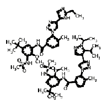 CCc1ncc(-c2cn(-c3cc(C(=O)Nc4cc(C(C)(C)C)cc(NS(C)(=O)=O)c4OC)ccc3C)nn2)[nH]1.COc1c(NC(=O)c2ccc(C)c(-n3cc(-c4cnn(C(C)C)c4C(C)C)nn3)c2)cc(C(C)(C)C)cc1NS(C)(=O)=O